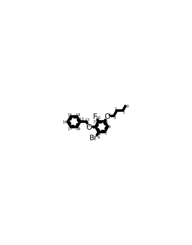 CCCCOc1ccc(Br)c(OCc2ccccc2)c1F